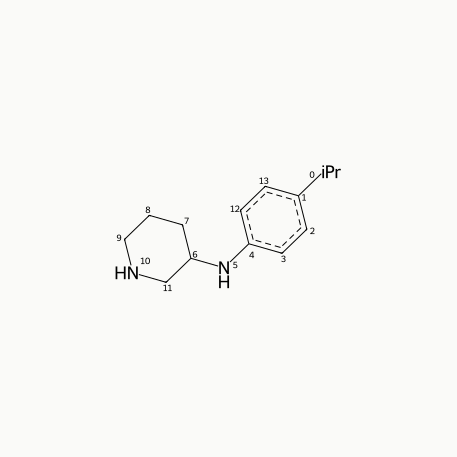 CC(C)c1ccc(NC2CCCNC2)cc1